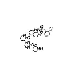 Cc1ccc2c(NS(=O)(=O)Cc3ccccc3Cl)c(F)ccc2c1Oc1ncccc1-c1ccnc(N[C@H]2CCCNC2)n1